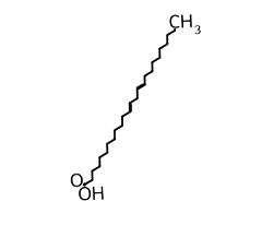 CCCCCCCCCC=CCC=CCCCCCCCCCCC(=O)O